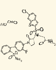 NC(=O)CN(C1CCN(c2ccc(-c3ccccc3S(N)(=O)=O)cc2F)C1=O)S(=O)(=O)c1cc2ccc(Cl)cc2s1.O=CO